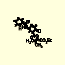 C=C(C)C(OC(=O)c1cc(NC(=O)N2CCCCN2)ccc1Cl)C(=O)OCC